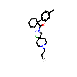 Cc1ccc(C2(C(=O)NCC3(F)CCN(CCC(C)(C)C)CC3)CCCCC2)cc1